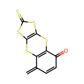 C=C1C=CC(=O)C2=C1Sc1sc(=S)sc1S2